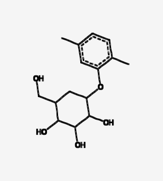 Cc1ccc(C)c(OC2CC(CO)C(O)C(O)C2O)c1